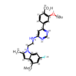 CCCCOc1cc(-c2cc(NCCn3c(C)cc4c(OC)cc(F)cc43)ncn2)ccc1C(=O)O